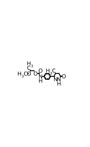 COC(C)COC(=O)Nc1ccc(C2=NNC(=O)CC2C)cc1